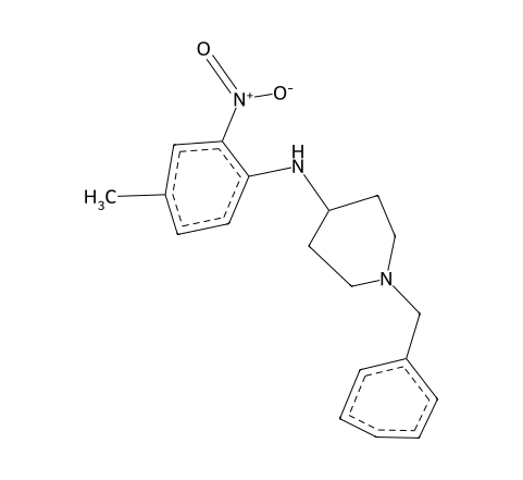 Cc1ccc(NC2CCN(Cc3ccccc3)CC2)c([N+](=O)[O-])c1